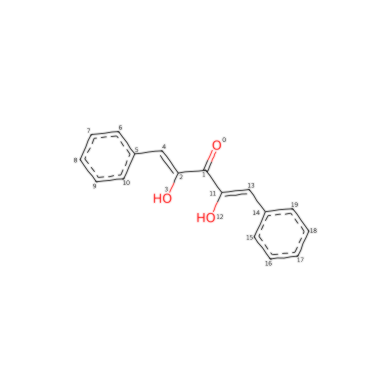 O=C(C(O)=Cc1ccccc1)C(O)=Cc1ccccc1